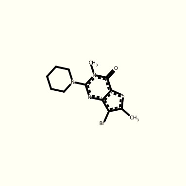 Cc1sc2c(=O)n(C)c(N3CCCCC3)nc2c1Br